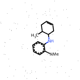 CNc1ccccc1NC1CC=CCC1C